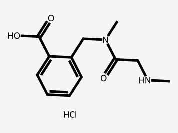 CNCC(=O)N(C)Cc1ccccc1C(=O)O.Cl